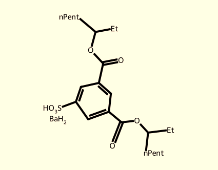 CCCCCC(CC)OC(=O)c1cc(C(=O)OC(CC)CCCCC)cc(S(=O)(=O)O)c1.[BaH2]